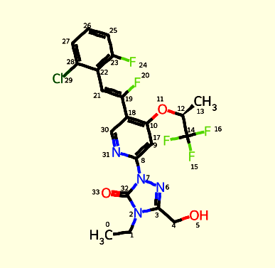 CCn1c(CO)nn(-c2cc(O[C@@H](C)C(F)(F)F)c(/C(F)=C/c3c(F)cccc3Cl)cn2)c1=O